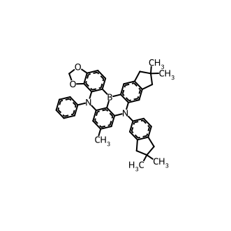 Cc1cc2c3c(c1)N(c1ccccc1)c1c(ccc4c1OCO4)B3c1cc3c(cc1N2c1ccc2c(c1)CC(C)(C)C2)CC(C)(C)C3